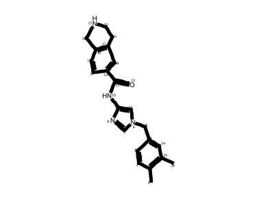 Cc1ccc(Cn2cnc(NC(=O)c3ccc4c(c3)CCNC4)c2)cc1C